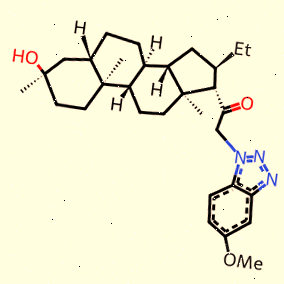 CC[C@@H]1C[C@H]2[C@@H]3CC[C@H]4C[C@](C)(O)CC[C@]4(C)[C@H]3CC[C@]2(C)[C@H]1C(=O)Cn1nnc2cc(OC)ccc21